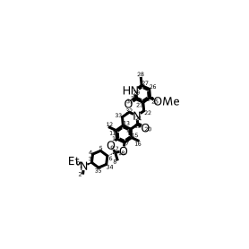 CCN(C)[C@H]1CC[C@H](C2(C)Oc3c(C)c4c(c(C)c3O2)C(=O)N(Cc2c(OC)cc(C)[nH]c2=O)CC4)CC1